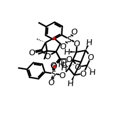 Cc1ccc(S(=O)(=O)O[C@H]2[C@H]3O[C@H]4O[C@@H]2[C@H](OC(=O)C25CC[C@](C)(C(=O)O2)C5(C)C)[C@H](O4)[C@H]3OS(=O)(=O)c2ccc(C)cc2)cc1